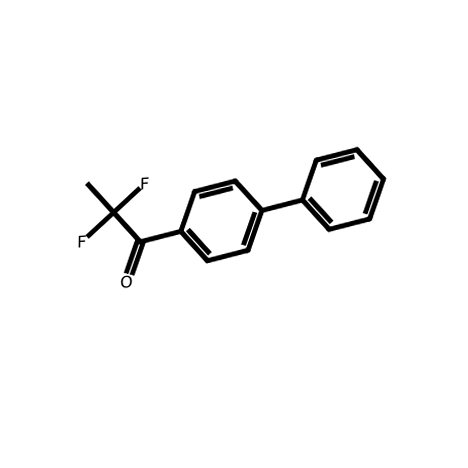 CC(F)(F)C(=O)c1ccc(-c2ccccc2)cc1